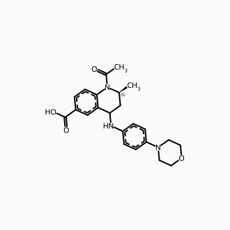 CC(=O)N1c2ccc(C(=O)O)cc2C(Nc2ccc(N3CCOCC3)cc2)C[C@@H]1C